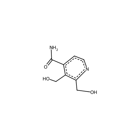 NC(=O)c1ccnc(CO)c1CO